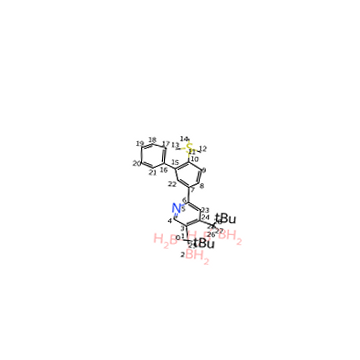 BC(B)(c1cnc(-c2ccc(S(C)(C)C)c(-c3ccccc3)c2)cc1C(B)(B)C(C)(C)C)C(C)(C)C